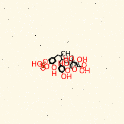 CC(Cc1ccc(OS(=O)(=O)O)c(O)c1)C(C)Cc1ccc(O)c(O[C@@H]2O[C@H](C(=O)O)[C@@H](O)[C@H](O)[C@H]2O)c1